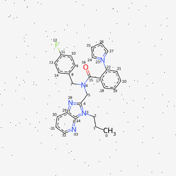 CCCn1c(CN(Cc2ccc(F)cc2)C(=O)c2ccccc2-n2cccc2)nc2cccnc21